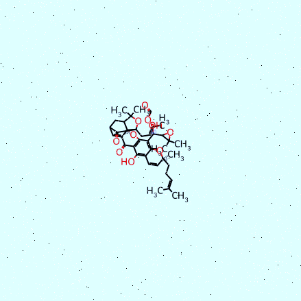 CC(C)=CCC[C@@]1(C)C=Cc2c(O)c3c(c(C(O)C4OC4(C)C)c2O1)O[C@]12C(=CC4CC1C(C)(C)OC2(C/C=C(/C)OC=O)C4=O)C3=O